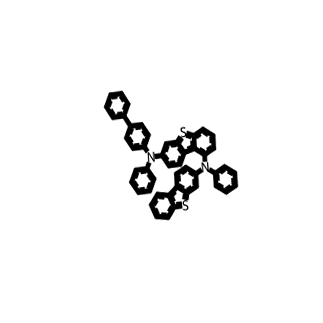 c1ccc(-c2ccc(N(c3ccccc3)c3ccc4c(c3)sc3cccc(N(c5ccccc5)c5ccc6c(c5)sc5ccccc56)c34)cc2)cc1